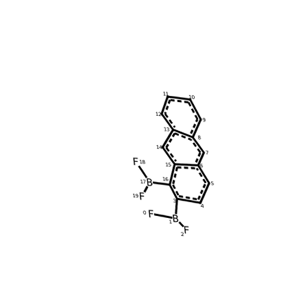 FB(F)c1ccc2cc3ccccc3cc2c1B(F)F